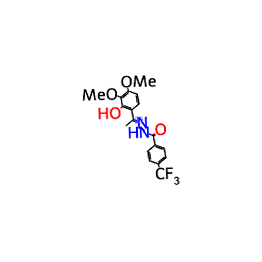 COc1ccc(/C(C)=N/NC(=O)c2ccc(C(F)(F)F)cc2)c(O)c1OC